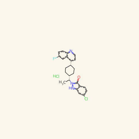 CC([C@H]1CC[C@@H](c2ccnc3ccc(F)cc32)CC1)n1[nH]c2cc(Cl)ccc2c1=O.Cl